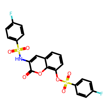 O=c1oc2c(OS(=O)(=O)c3ccc(F)cc3)cccc2cc1NS(=O)(=O)c1ccc(F)cc1